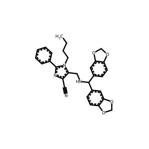 CCCCn1c(-c2ccccc2)nc(C#N)c1CNC(c1ccc2c(c1)OCO2)c1ccc2c(c1)OCO2